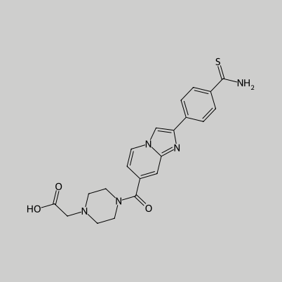 NC(=S)c1ccc(-c2cn3ccc(C(=O)N4CCN(CC(=O)O)CC4)cc3n2)cc1